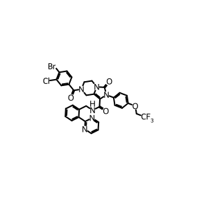 O=C(NCc1ccccc1-c1ncccn1)c1c2n(c(=O)n1-c1ccc(OCC(F)(F)F)cc1)CCN(C(=O)c1ccc(Br)c(Cl)c1)C2